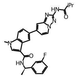 CC(C)C(=O)Nc1nc2cc(-c3ccc4c(c3)c(C(=O)N[C@H](C)c3cccc(F)c3)cn4C)ccn2n1